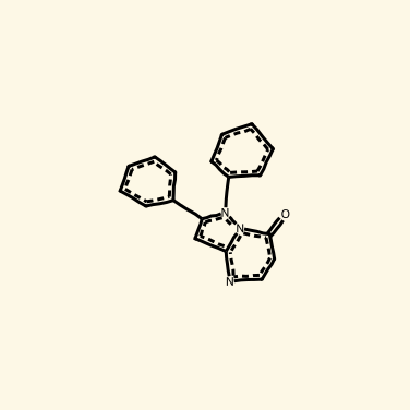 O=c1ccnc2cc(-c3ccccc3)n(-c3ccccc3)n12